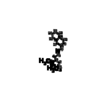 C\C=C/C(=C\C=N\Cc1ccc2ccccc2c1)N(C)C